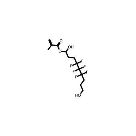 C=C(C)C(=O)OC(O)CCC(F)(F)C(F)(F)C(F)(F)CCCO